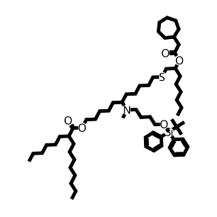 CCCCCCCCC(CCCCCC)C(=O)OCCCCCC(CCCCCSCC(CCCCCC)OC(=O)CC1CCCCCC1)N(C)CCCCO[Si](c1ccccc1)(c1ccccc1)C(C)(C)C